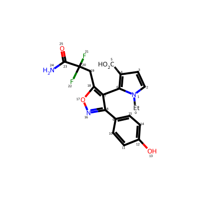 CCn1ccc(C(=O)O)c1-c1c(-c2ccc(O)cc2)noc1CC(F)(F)C(N)=O